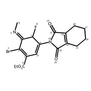 CCOC(=O)C1=C(Br)C(=NC)C(F)C(N2C(=O)C3=C(CCCC3)C2=O)=C1